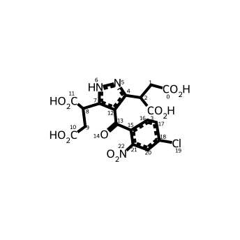 O=C(O)CC(C(=O)O)c1n[nH]c(C(CC(=O)O)C(=O)O)c1C(=O)c1ccc(Cl)cc1[N+](=O)[O-]